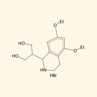 Br.CCOc1cc(OCC)c2c(c1)C(C(CO)CO)NCC2